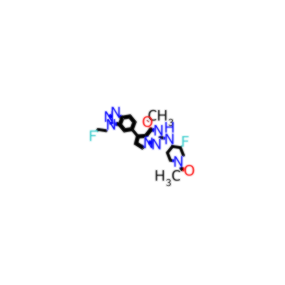 COc1nc(N[C@H]2CCN(C(C)=O)C[C@H]2F)nn2ccc(-c3ccc4nnn(CCF)c4c3)c12